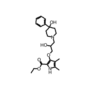 CCOC(=O)c1[nH]c(C)c(C)c1OCC(O)CN1CCC(O)(c2ccccc2)CC1